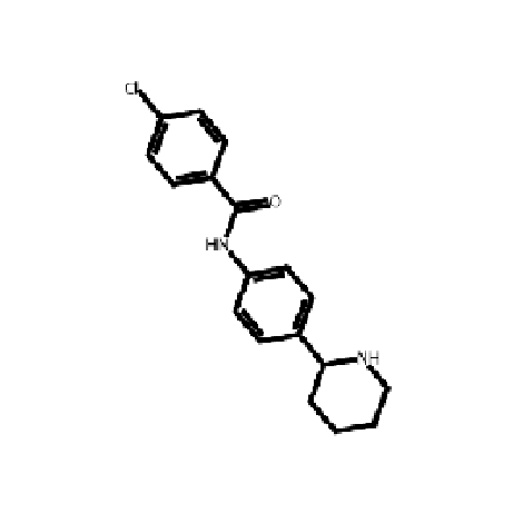 O=C(Nc1ccc(C2CCCCN2)cc1)c1ccc(Cl)cc1